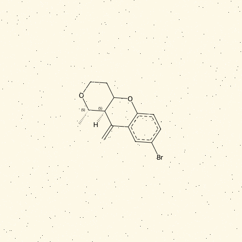 C=C1c2cc(Br)ccc2OC2CCO[C@@H](C)[C@H]12